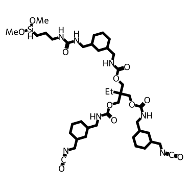 CCC(COC(=O)NCC1CCCC(CN=C=O)C1)(COC(=O)NCC1CCCC(CN=C=O)C1)COC(=O)NCC1CCCC(CNC(=O)NCCC[SiH](OC)OC)C1